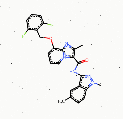 Cc1nc2c(OCc3c(F)cccc3F)cccn2c1C(=O)Nc1nn(C)c2ccc(C(F)(F)F)cc12